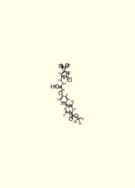 C[C@@H]1CN(c2ccc(OC[C@H](O)CCn3cc([N+](=O)[O-])nc3Cl)cc2)[C@@H](C)CN1C(=O)OC(C)(C)C